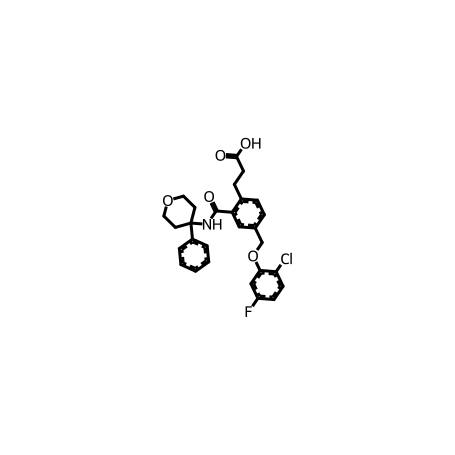 O=C(O)CCc1ccc(COc2cc(F)ccc2Cl)cc1C(=O)NC1(c2ccccc2)CCOCC1